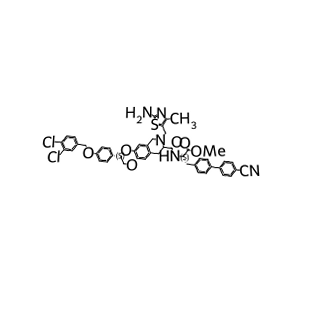 COC(=O)[C@H](Cc1ccc(-c2ccc(C#N)cc2)cc1)NC(=O)C1Cc2cc3c(cc2CN1Cc1sc(N)nc1C)O[C@@H](c1ccc(OCc2ccc(Cl)c(Cl)c2)cc1)CO3